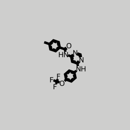 Cc1ccc(C(=O)Nc2cc(Nc3ccc(OC(F)(F)F)cc3)ncn2)cc1